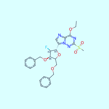 CCOc1nc(S(C)(=O)=O)nn2c([C@@H]3OC(COCc4ccccc4)[C@@H](OCc4ccccc4)[C@H]3F)cnc12